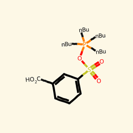 CCCCP(CCCC)(CCCC)(CCCC)OS(=O)(=O)c1cccc(C(=O)O)c1